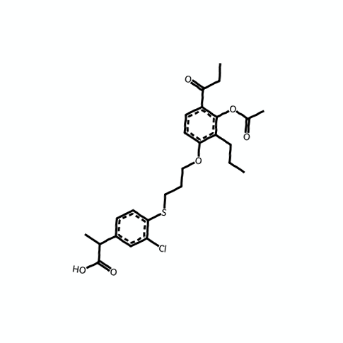 CCCc1c(OCCCSc2ccc(C(C)C(=O)O)cc2Cl)ccc(C(=O)CC)c1OC(C)=O